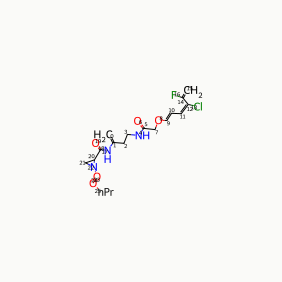 C=C(CCNC(=O)CO/C=C/C=C(/Cl)C(=C)F)NC(=O)C1CN1OOCCC